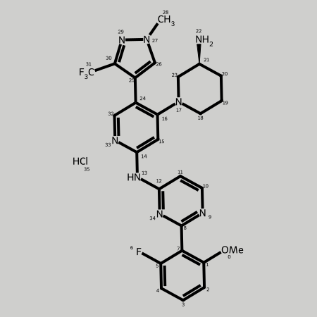 COc1cccc(F)c1-c1nccc(Nc2cc(N3CCC[C@H](N)C3)c(-c3cn(C)nc3C(F)(F)F)cn2)n1.Cl